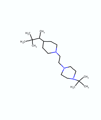 CC(C1CCN(CCN2CCN(C(C)(C)C)CC2)CC1)C(C)(C)C